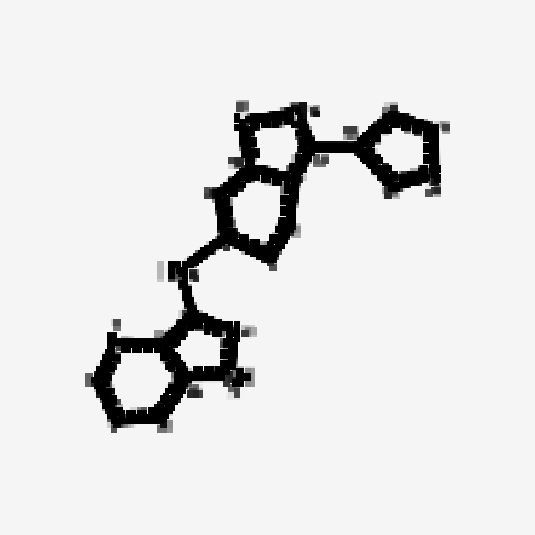 c1cnc2c(Nc3ccc4c(-c5ccsc5)nsc4c3)n[nH]c2c1